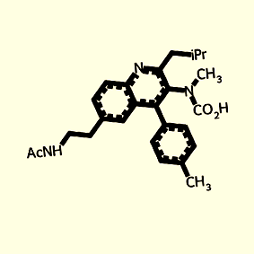 CC(=O)NCCc1ccc2nc(CC(C)C)c(N(C)C(=O)O)c(-c3ccc(C)cc3)c2c1